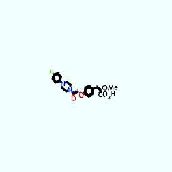 CO[C@@H](Cc1ccc(OCC(=O)N2CCN(c3ccc(F)cc3)CC2)cc1)C(=O)O